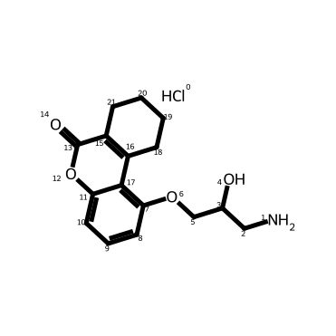 Cl.NCC(O)COc1cccc2oc(=O)c3c(c12)CCCC3